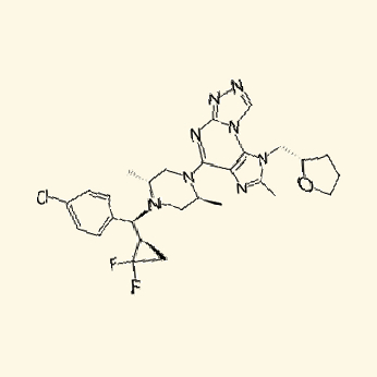 Cc1nc2c(N3C[C@@H](C)N([C@H](c4ccc(Cl)cc4)[C@H]4CC4(F)F)C[C@@H]3C)nc3nncn3c2n1C[C@@H]1CCCO1